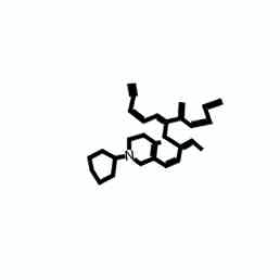 C#C/C=C\C=C(/CC(/C=C\C1=C(C)CCN(C2CCCCC2)C1)=C/C)C(=C)/C=C\C=C